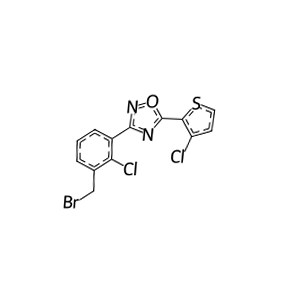 Clc1ccsc1-c1nc(-c2cccc(CBr)c2Cl)no1